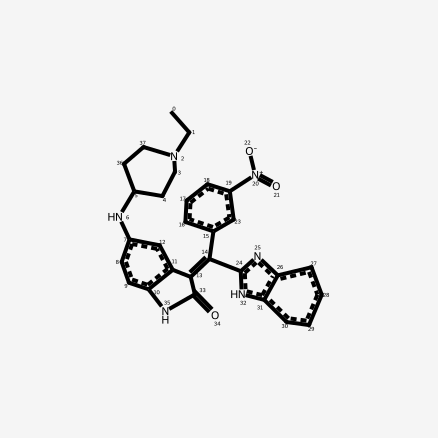 CCN1CCC(Nc2ccc3c(c2)C(=C(c2cccc([N+](=O)[O-])c2)c2nc4ccccc4[nH]2)C(=O)N3)CC1